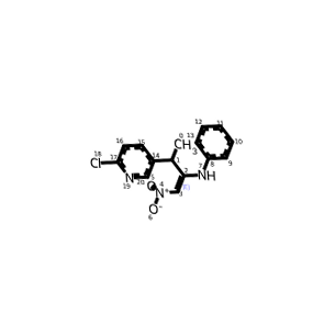 CC(/C(=C\[N+](=O)[O-])Nc1ccccc1)c1ccc(Cl)nc1